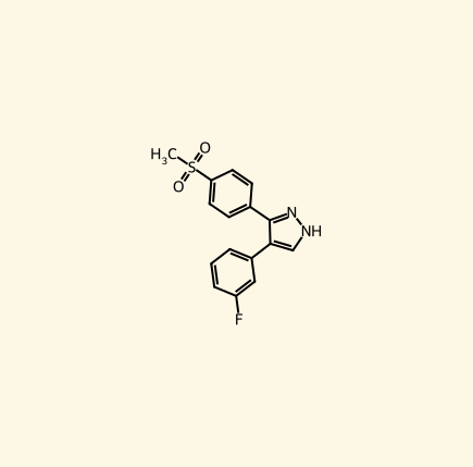 CS(=O)(=O)c1ccc(-c2n[nH]cc2-c2cccc(F)c2)cc1